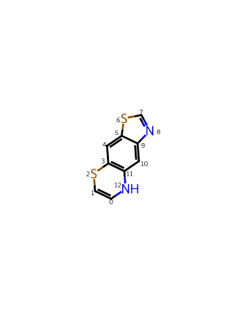 C1=CSc2cc3scnc3cc2N1